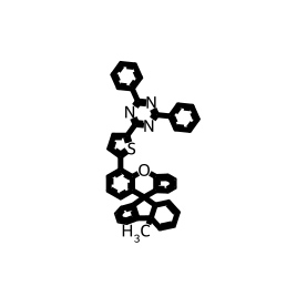 CC12C=CC=CC1C1(c3ccccc3Oc3c(-c4ccc(-c5nc(-c6ccccc6)nc(-c6ccccc6)n5)s4)cccc31)c1ccccc12